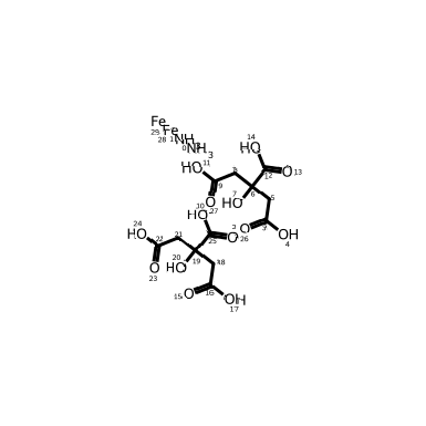 N.N.O=C(O)CC(O)(CC(=O)O)C(=O)O.O=C(O)CC(O)(CC(=O)O)C(=O)O.[Fe].[Fe]